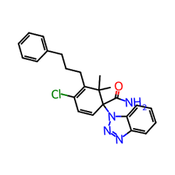 CC1(C)C(CCCc2ccccc2)=C(Cl)C=CC1(C(N)=O)n1nnc2ccccc21